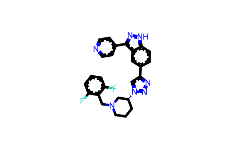 Fc1cccc(F)c1CN1CCC[C@@H](n2cc(-c3ccc4[nH]nc(-c5ccncc5)c4c3)nn2)C1